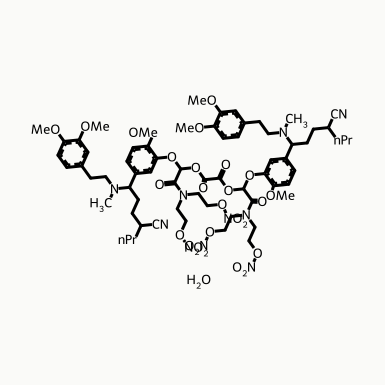 CCCC(C#N)CCC(c1ccc(OC)c(OC(OC(=O)C(=O)OC(Oc2cc(C(CCC(C#N)CCC)N(C)CCc3ccc(OC)c(OC)c3)ccc2OC)C(=O)N(CCO[N+](=O)[O-])CCO[N+](=O)[O-])C(=O)N(CCO[N+](=O)[O-])CCO[N+](=O)[O-])c1)N(C)CCc1ccc(OC)c(OC)c1.O